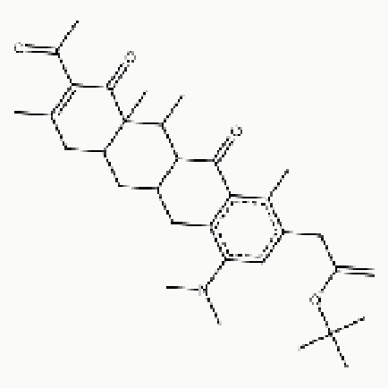 C=C(Cc1cc(N(C)C)c2c(c1C)C(=O)C1C(C2)CC2CC(C)=C(C(C)=O)C(=O)C2(C)C1C)OC(C)(C)C